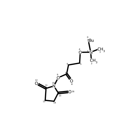 CC(C)(C)[Si](C)(C)OCCC(=O)ON1C(=O)CCC1=O